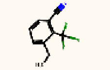 CCc1cccc(C#N)c1C(F)(F)F